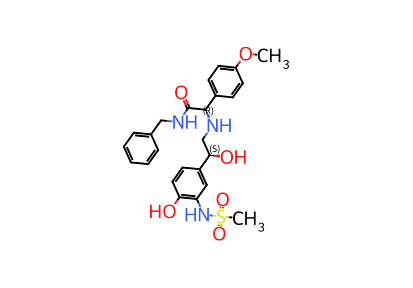 COc1ccc([C@@H](NC[C@@H](O)c2ccc(O)c(NS(C)(=O)=O)c2)C(=O)NCc2ccccc2)cc1